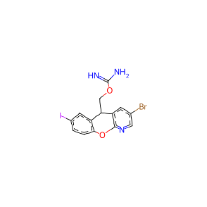 N=C(N)OCC1c2cc(I)ccc2Oc2ncc(Br)cc21